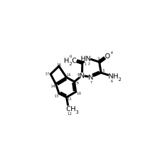 C=C1NC(=O)C(N)=NN1c1cc(C)cc2c1CC2